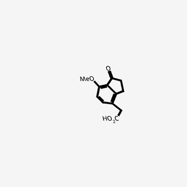 COc1ccc(CC(=O)O)c2c1C(=O)CC2